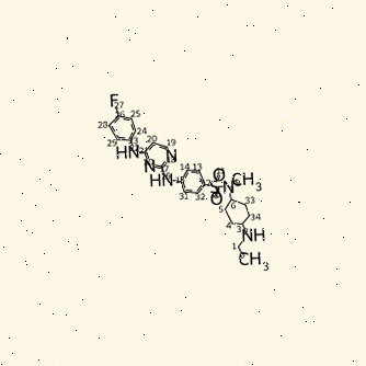 CCNC1CCC(N(C)S(=O)(=O)c2ccc(Nc3nccc(Nc4ccc(F)cc4)n3)cc2)CC1